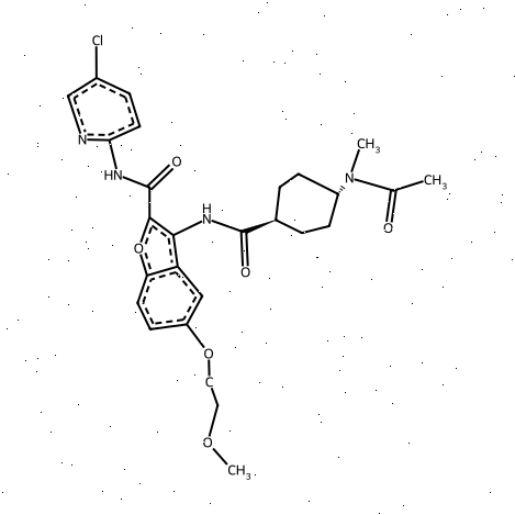 COCCOc1ccc2oc(C(=O)Nc3ccc(Cl)cn3)c(NC(=O)[C@H]3CC[C@H](N(C)C(C)=O)CC3)c2c1